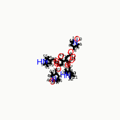 CON1C(C)(C)CC(COC(=O)CC(C(=O)OCC2CC(C)(C)NC2(C)C)C(CC(=O)OCC2CC(C)(C)N(OC)C2(C)C)C(=O)OCC2CC(C)(C)NC2(C)C)C1(C)C